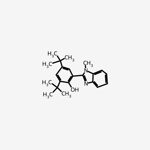 Cn1c(-c2cc(C(C)(C)C)cc(C(C)(C)C)c2O)nc2ccccc21